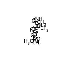 Cc1nc(C(F)(F)F)cc(-c2ccnc3cc(CN4C(=O)C5[C@H](C4=O)C5(C)C)sc23)c1CC1CNCCO1